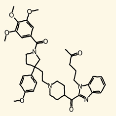 COc1ccc(C2(CCN3CCC(C(=O)c4nc5ccccc5n4CCCC(C)=O)CC3)CCN(C(=O)c3cc(OC)c(OC)c(OC)c3)C2)cc1